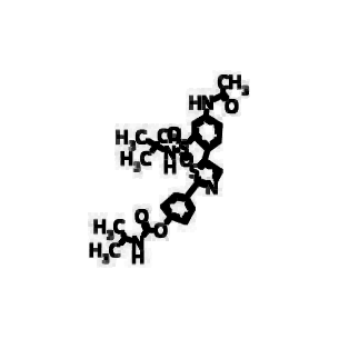 CC(=O)Nc1ccc(-c2cnc(-c3ccc(OC(=O)NC(C)C)cc3)s2)c(S(=O)(=O)NC(C)(C)C)c1